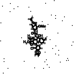 COc1cc(C(=O)NC[C@@](O)(c2cccc(F)c2)c2cc3c(c(-c4ccc5c(c4Cl)OC(F)(F)O5)n2)OC[C@]3(C)C(N)=O)cc2cn(C3CC3)nc12